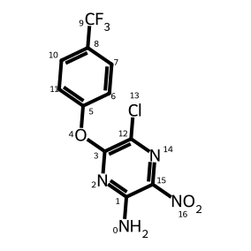 Nc1nc(Oc2ccc(C(F)(F)F)cc2)c(Cl)nc1[N+](=O)[O-]